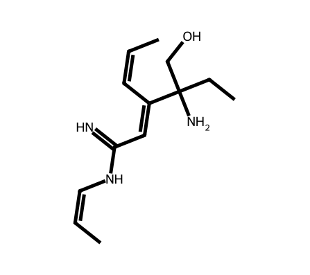 C/C=C\NC(=N)/C=C(\C=C/C)C(N)(CC)CO